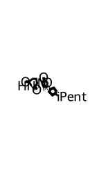 CCCC(C)c1ccc([C@@H]2CN(C3CCC(=O)NC3=O)C(=O)O2)cc1